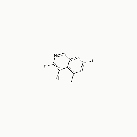 Fc1ncc2cc(I)cc(F)c2c1Cl